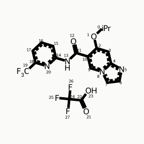 CC(C)Oc1cc2nccn2cc1C(=O)Nc1cccc(C(F)(F)F)n1.O=C(O)C(F)(F)F